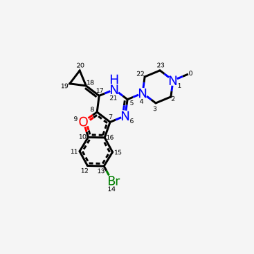 CN1CCN(C2=Nc3c(oc4ccc(Br)cc34)C(=C3CC3)N2)CC1